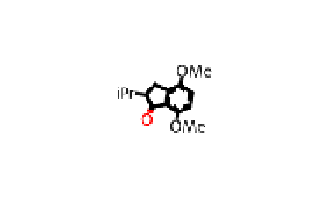 COc1ccc(OC)c2c1CC(C(C)C)C2=O